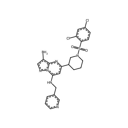 Bc1cnn2c(NCc3cccnc3)cc(C3CCCN(S(=O)(=O)c4ccc(Cl)cc4Cl)C3)nc12